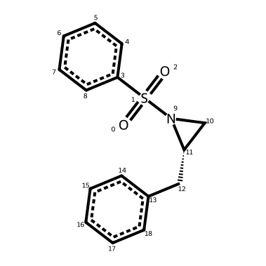 O=S(=O)(c1ccccc1)N1C[C@@H]1Cc1ccccc1